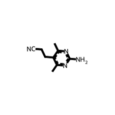 Cc1nc(N)nc(C)c1CCC#N